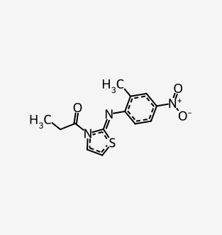 CCC(=O)n1ccsc1=Nc1ccc([N+](=O)[O-])cc1C